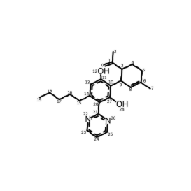 C=C(C)C1CCC(C)=CC1c1c(O)cc(CCCCC)c(-c2ncccn2)c1O